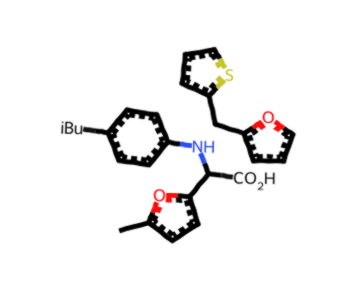 CCC(C)c1ccc(NC(C(=O)O)c2ccc(C)o2)cc1.c1coc(Cc2cccs2)c1